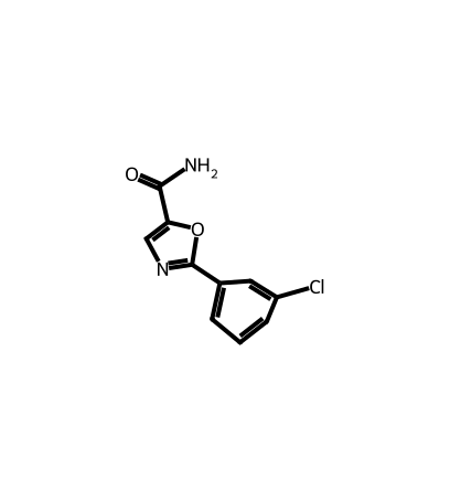 NC(=O)c1cnc(-c2cccc(Cl)c2)o1